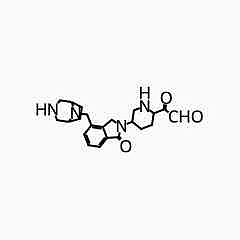 O=CC(=O)C1CCC(N2Cc3c(CN4C5CCC4CNC5)cccc3C2=O)CN1